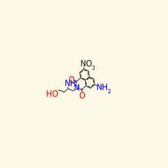 Nc1cc2c3c(cc([N+](=O)[O-])cc3c1)C(=O)N(CC(N)CCO)C2=O